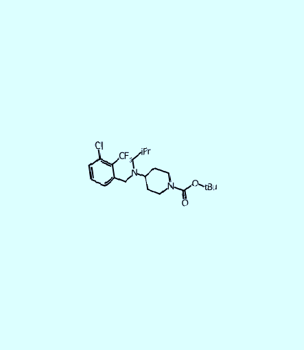 CC(C)CN(Cc1cccc(Cl)c1C(F)(F)F)C1CCN(C(=O)OC(C)(C)C)CC1